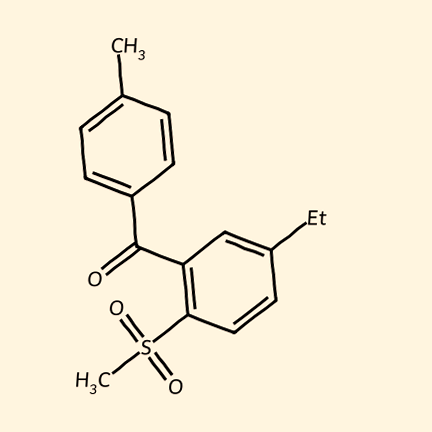 CCc1ccc(S(C)(=O)=O)c(C(=O)c2ccc(C)cc2)c1